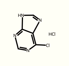 Cl.Clc1ncnc2[nH]cnc12